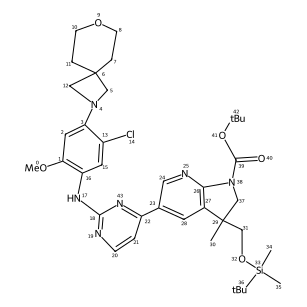 COc1cc(N2CC3(CCOCC3)C2)c(Cl)cc1Nc1nccc(-c2cnc3c(c2)C(C)(CO[Si](C)(C)C(C)(C)C)CN3C(=O)OC(C)(C)C)n1